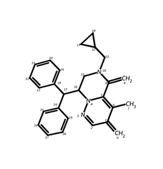 C=C1C=NN2C(=C1C)C(=C)N(CC1CC1)CC2C(c1ccccc1)c1ccccc1